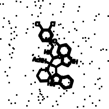 COc1ccc2[nH]cc(C(c3c[nH]c4ccccc34)C(NC(C)=O)(C(=O)NCc3ccc(Cl)c(Cl)c3)N3CC=CCC3)c2c1